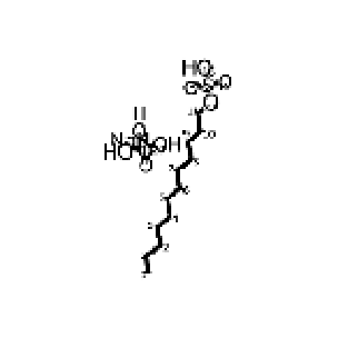 CCCCCCCCCCCCOS(=O)(=O)O.O=P(O)(O)O.[NaH]